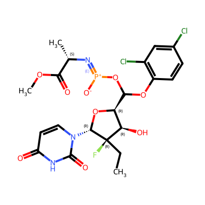 CC[C@@]1(F)[C@H](O)[C@H](C(Oc2ccc(Cl)cc2Cl)O/[P+]([O-])=N/[C@@H](C)C(=O)OC)O[C@H]1n1ccc(=O)[nH]c1=O